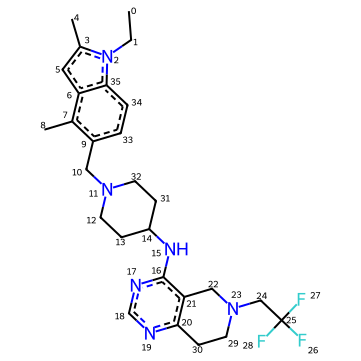 CCn1c(C)cc2c(C)c(CN3CCC(Nc4ncnc5c4CN(CC(F)(F)F)CC5)CC3)ccc21